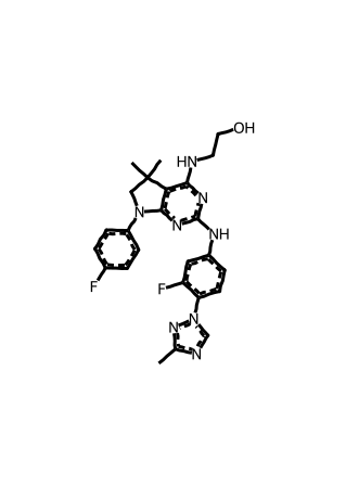 Cc1ncn(-c2ccc(Nc3nc(NCCO)c4c(n3)N(c3ccc(F)cc3)CC4(C)C)cc2F)n1